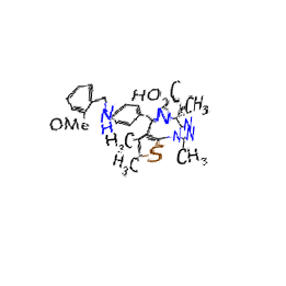 COc1ccccc1CNc1ccc(C2=NC([C@H](C)C(=O)O)c3nnc(C)n3-c3sc(C)c(C)c32)cc1